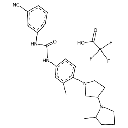 Cc1cc(NC(=O)Nc2cccc(C#N)c2)ccc1N1CCC(N2CCCC2C)C1.O=C(O)C(F)(F)F